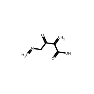 C=NCC(=O)C(=C)C(=O)O